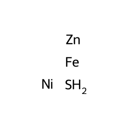 S.[Fe].[Ni].[Zn]